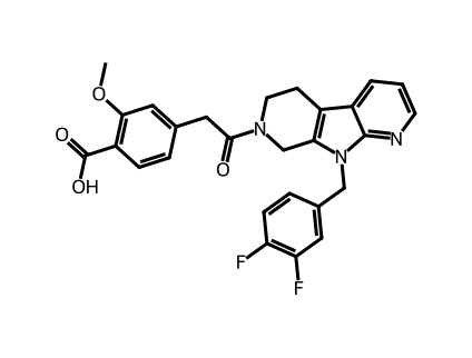 COc1cc(CC(=O)N2CCc3c(n(Cc4ccc(F)c(F)c4)c4ncccc34)C2)ccc1C(=O)O